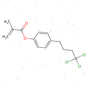 C=C(C)C(=O)Oc1ccc(CCC[Si](Cl)(Cl)Cl)cc1